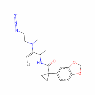 CC/C=C(\C(C)NC(=O)C1(c2ccc3c(c2)OCO3)CC1)N(C)CCN=[N+]=[N-]